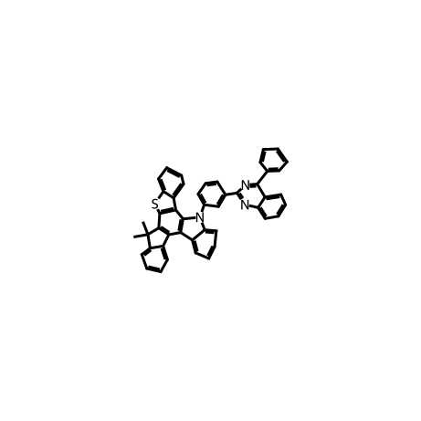 CC1(C)c2ccccc2-c2c1c1sc3ccccc3c1c1c2c2ccccc2n1-c1cccc(-c2nc(-c3ccccc3)c3ccccc3n2)c1